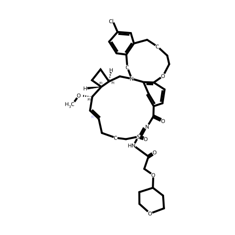 CO[C@H]1/C=C/CCCS(=O)(NC(=O)COC2CCOCC2)=NC(=O)c2ccc3c(c2)N(Cc2ccc(Cl)cc2CCCCO3)C[C@@H]2CC[C@H]21